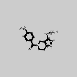 COc1ccc(C(=O)N2CCc3onc(OC(=O)O)c3C2)cc1